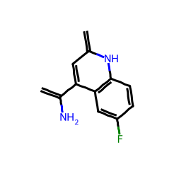 C=C1C=C(C(=C)N)c2cc(F)ccc2N1